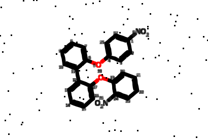 O=[N+]([O-])c1ccc(Oc2ccccc2-c2ccccc2Oc2ccccc2[N+](=O)[O-])cc1